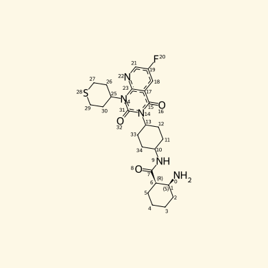 N[C@H]1CCCC[C@H]1C(=O)NC1CCC(n2c(=O)c3cc(F)cnc3n(C3CCSCC3)c2=O)CC1